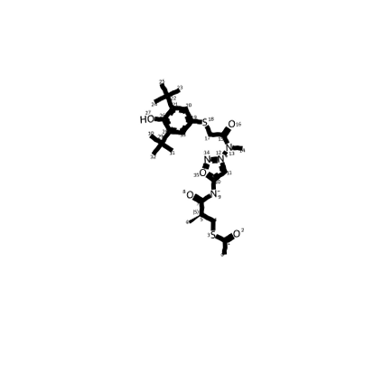 CC(=O)SC[C@@H](C)C(=O)[N-]c1c[n+](N(C)C(=O)CSc2cc(C(C)(C)C)c(O)c(C(C)(C)C)c2)no1